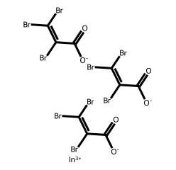 O=C([O-])C(Br)=C(Br)Br.O=C([O-])C(Br)=C(Br)Br.O=C([O-])C(Br)=C(Br)Br.[In+3]